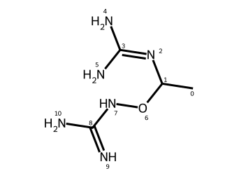 CC(N=C(N)N)ONC(=N)N